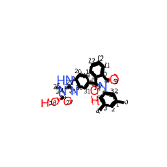 Cc1cc(C)cc(N2C(=O)c3ccccc3C2(O)c2ccc3[nH]c(N(C)C(=O)O)nc3c2)c1